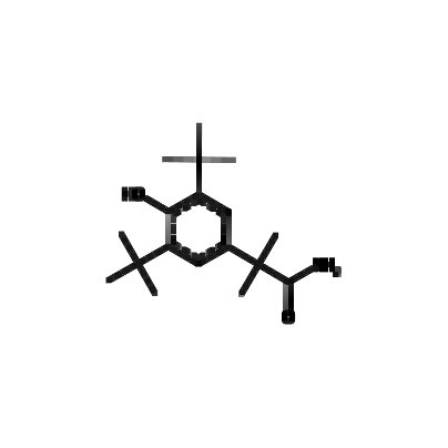 CC(C)(C)c1cc(C(C)(C)C(N)=O)cc(C(C)(C)C)c1O